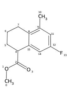 COC(=O)C1CCCc2c(C)cc(F)cc21